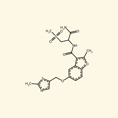 Cc1ncc(COc2ccc3oc(C)c(C(=O)NC(CS(C)(=O)=O)C(N)=O)c3c2)s1